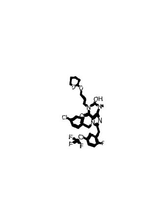 CN1c2nc(Cc3cc(OC(F)(F)F)ccc3F)n(Cc3ccc(Cl)cc3)c2C(=O)N(CCCOC2CCCCO2)C1O